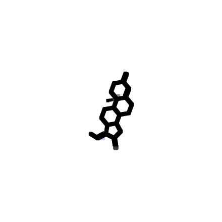 C=C1C=C2CCC3C4CC(=O)/C(=C/C)C4CCC3[C@@]2(C)CC1